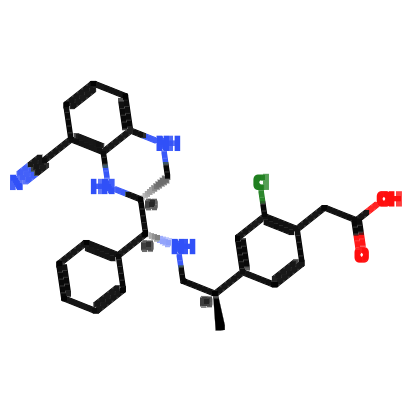 C[C@@H](CN[C@H](c1ccccc1)[C@H]1CNc2cccc(C#N)c2N1)c1ccc(CC(=O)O)c(Cl)c1